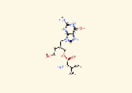 CC(C)[C@H](N)C(=O)OCC(CCO)Cn1cnc2c(=O)[nH]c(N)nc21